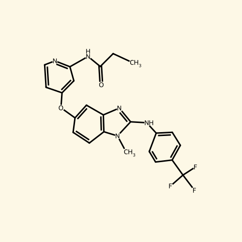 CCC(=O)Nc1cc(Oc2ccc3c(c2)nc(Nc2ccc(C(F)(F)F)cc2)n3C)ccn1